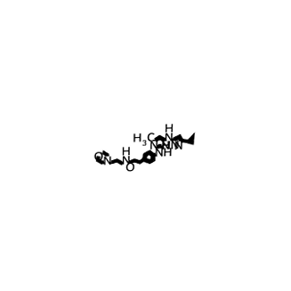 Cc1cc(Nc2cc(C3CC3)n[nH]2)nc(Nc2ccc(CCC(=O)NCCCN3CCOCC3)cc2)n1